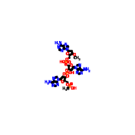 COC1C[C@H](n2cnc3c(N)ncnc32)O[C@@H]1COP(=O)(O)O[C@H]1O[C@@H](n2cnc3c(N)ncnc32)CC1OP(=O)(O)OC1C[C@H](n2cnc3c(N)ncnc32)O[C@@H]1COP(C)(=O)O